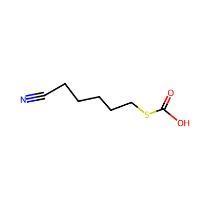 N#CCCCCCSC(=O)O